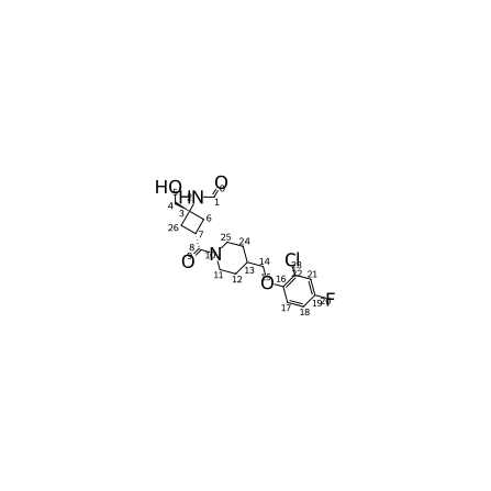 O=CN[C@]1(CO)C[C@H](C(=O)N2CCC(COc3ccc(F)cc3Cl)CC2)C1